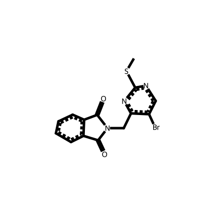 CSc1ncc(Br)c(CN2C(=O)c3ccccc3C2=O)n1